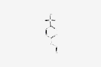 N=CNC(=N)/C=C\C(=N)S(N)(=O)=O